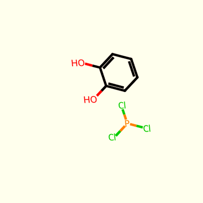 ClP(Cl)Cl.Oc1ccccc1O